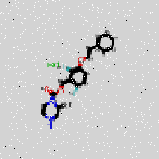 CCC1CNCCN1C(=O)OCc1c(F)ccc(OCCC2CCCCC2)c1F.Cl